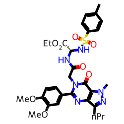 CCCc1nn(C)c2c(=O)n(CC(=O)N[C@@H](NS(=O)(=O)c3ccc(C)cc3)C(=O)OCC)c(-c3ccc(OC)c(OC)c3)nc12